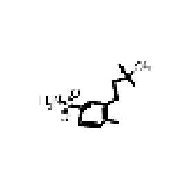 Cc1ccc(S(N)(=O)=O)cc1CCC(C)(C)O